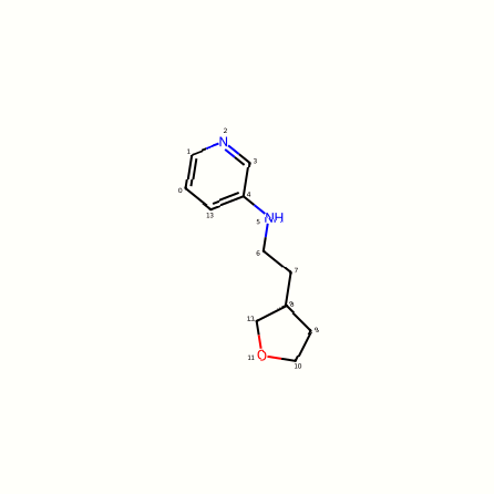 c1cncc(NCCC2CCOC2)c1